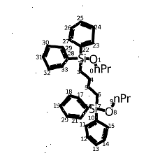 CCCO[Si](CCCC[Si](OCCC)(c1ccccc1)c1ccccc1)(c1ccccc1)c1ccccc1